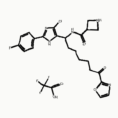 O=C(CCCCCC(NC(=O)C1CNC1)c1[nH]c(-c2ccc(F)cc2)nc1Cl)c1ncco1.O=C(O)C(F)(F)F